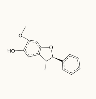 COc1cc2c(cc1O)[C@@H](C)[C@H](c1ccccc1)O2